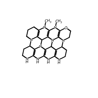 CN1C2=C3C4C5=C1N(C)C1=C6N(CCO1)C1CCNC7=C1C(C1=C(N7)NC7=C(C(CCN7)N3CCC2)N14)N56